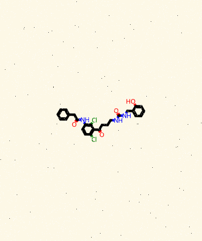 O=C(Cc1ccccc1)Nc1ccc(Cl)c(C(=O)CCCNC(=O)NCc2ccccc2O)c1Cl